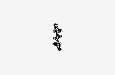 O=C1CN(CCOC(=O)N(Cc2cccs2)Cc2cccs2)C(=O)CN1CCOC(=O)N(Cc1cccs1)Cc1cccs1